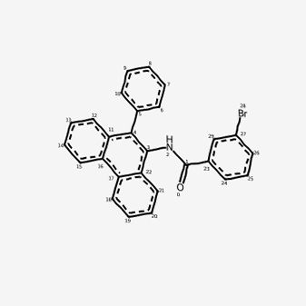 O=C(Nc1c(-c2ccccc2)c2ccccc2c2ccccc12)c1cccc(Br)c1